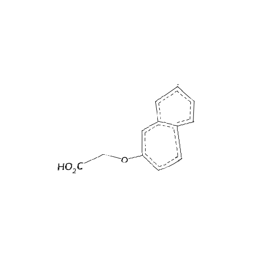 O=C(O)COc1ccc2cc[c]cc2c1